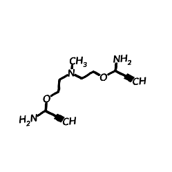 C#CC(N)OCCN(C)CCOC(N)C#C